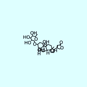 CC1OC(OC2CC(O)[C@]3(CO)[C@H]4CCC5(C)C(C6=CC(=O)OC6)CCC5(O)[C@@H]4CC[C@]3(O)C2)C(O)C(O)C1O